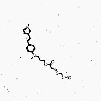 CN(CCCOC(=O)CSSCC=O)c1ccc(/C=C/c2ccn(C)c2)cc1